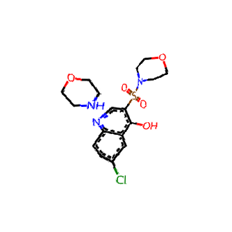 C1COCCN1.O=S(=O)(c1cnc2ccc(Cl)cc2c1O)N1CCOCC1